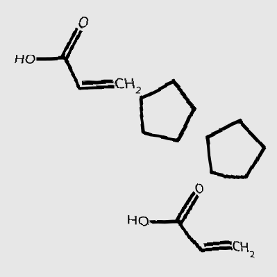 C1CCCC1.C1CCCC1.C=CC(=O)O.C=CC(=O)O